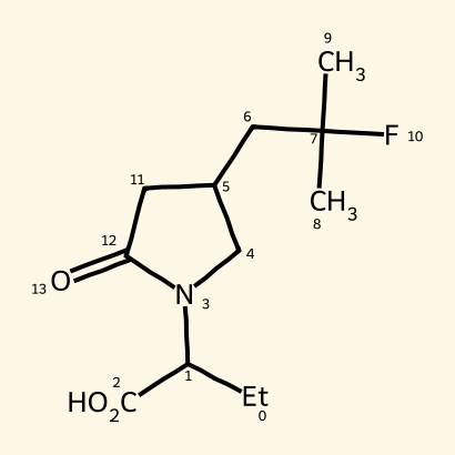 CCC(C(=O)O)N1CC(CC(C)(C)F)CC1=O